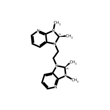 C[C@@H]1N(C)c2ncccc2N1CCN1c2cccnc2N(C)[C@@H]1C